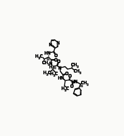 CCC(NC(=O)CN(CCC(C)C)C(=O)[C@@H](NC(=O)[C@@H](NC(=O)c1cnccn1)C(C)C)C(C)C)C(=O)C(=O)N[C@@H](C)c1ccccc1